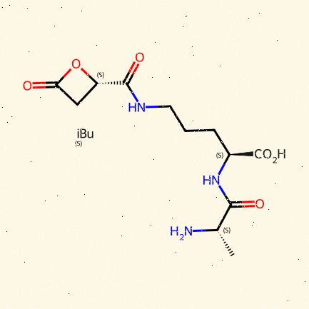 CC[C@H](C)C1C(=O)O[C@@H]1C(=O)NCCC[C@H](NC(=O)[C@H](C)N)C(=O)O